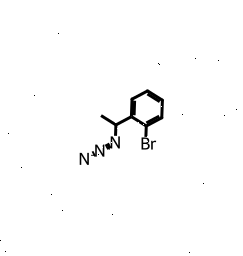 CC(N=[N+]=[N-])c1ccccc1Br